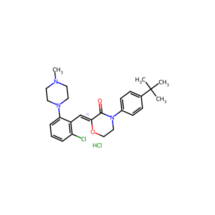 CN1CCN(c2cccc(Cl)c2/C=C2\OCCN(c3ccc(C(C)(C)C)cc3)C2=O)CC1.Cl